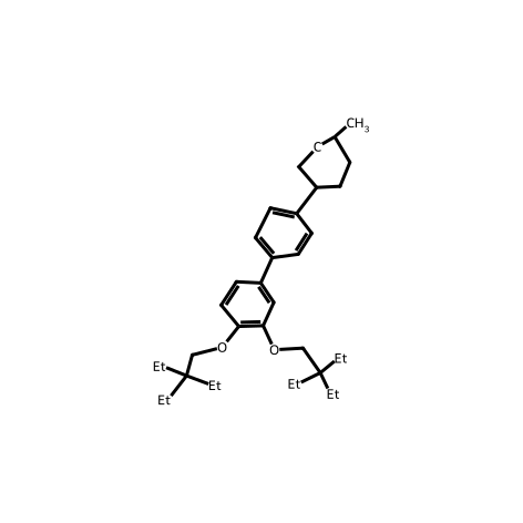 CCC(CC)(CC)COc1ccc(-c2ccc(C3CCC(C)CC3)cc2)cc1OCC(CC)(CC)CC